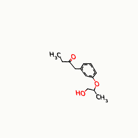 CCC(=O)Cc1cccc(OC(C)CO)c1